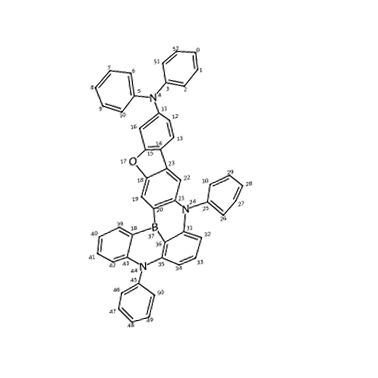 c1ccc(N(c2ccccc2)c2ccc3c(c2)oc2cc4c(cc23)N(c2ccccc2)c2cccc3c2B4c2ccccc2N3c2ccccc2)cc1